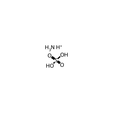 N.O=S(=O)(O)O.[H+]